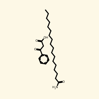 CCCCCCCCCCCCCCCCCC(N)=O.O=C(O)CC(=O)c1ccccc1